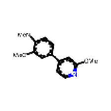 CNc1ccc(-c2ccnc(OC)c2)cc1OC